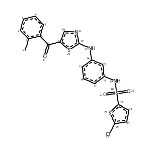 Cc1ccccc1C(=O)c1cnc(Nc2cccc(NS(=O)(=O)c3ccc(Cl)s3)c2)s1